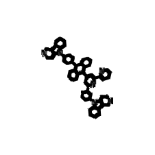 c1ccc(-c2cc(-c3c4ccccc4c(-c4ccc(-n5c6ccccc6c6cnccc65)cc4)c4ccccc34)cc(-c3cccc(-n4c5ccccc5c5cnccc54)c3)n2)nc1